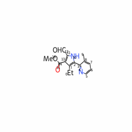 CCc1c(-c2ncccc2C)[nH]c(C=O)c1C(=O)OC